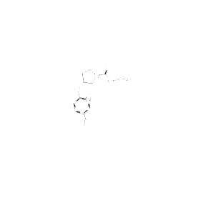 C[C@H]1C[C@@H](Oc2ccc(F)cn2)CN1C(=O)OC(C)(C)C